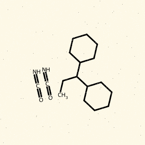 CCC(C1CCCCC1)C1CCCCC1.N=C=O.N=C=O